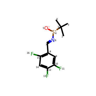 CC(C)(C)[S+]([O-])N=Cc1cc(F)c(F)cc1F